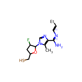 CC/C=C/N=C(/N)c1ncn(C2OC(CS)CC2F)c1C